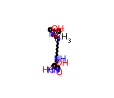 CN(CCCCCCCCCCNC[C@H](O)c1ccc(O)c2[nH]c(=O)ccc12)Cc1cnc(C(O)(c2ccccc2)C2CCCC2)o1